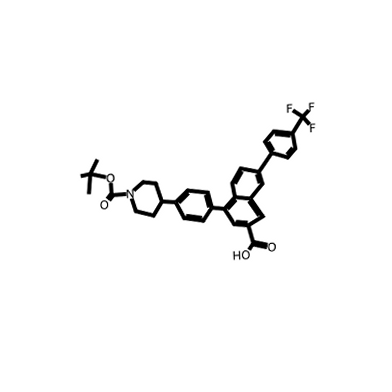 CC(C)(C)OC(=O)N1CCC(c2ccc(-c3cc(C(=O)O)cc4cc(-c5ccc(C(F)(F)F)cc5)ccc34)cc2)CC1